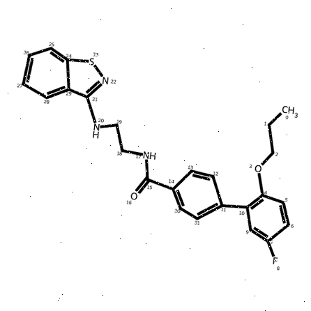 CCCOc1ccc(F)cc1-c1ccc(C(=O)NCCNc2nsc3ccccc23)cc1